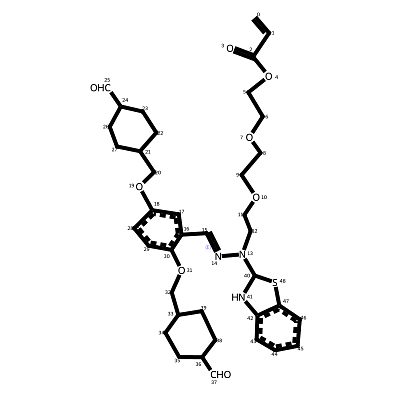 C=CC(=O)OCCOCCOCCN(/N=C/c1cc(OCC2CCC(C=O)CC2)ccc1OCC1CCC(C=O)CC1)C1Nc2ccccc2S1